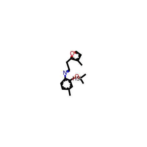 Cc1ccc(N=CCc2occc2C)c(O[SiH](C)C)c1